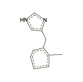 Cc1ccccc1Cc1c[nH]cn1